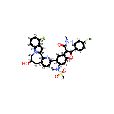 CNC(=O)c1c(-c2ccc(F)cc2)oc2cc(N(C)S(C)(=O)=O)c(-c3ccc4c(n3)-c3cc5c(F)cccc5n3CC(O)C4)cc12